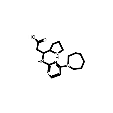 O=C(O)CC(Nc1nccc(N2CCCCCC2)n1)C1CCCN1